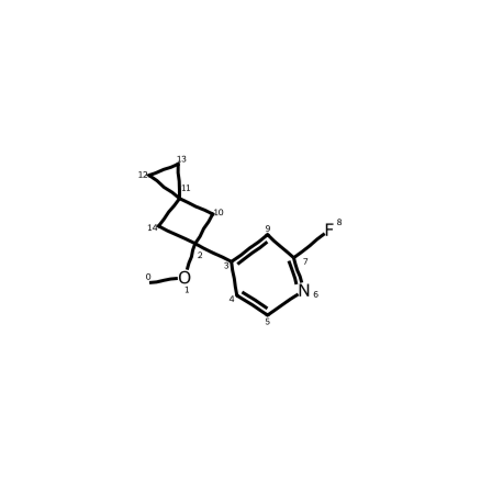 COC1(c2ccnc(F)c2)CC2(CC2)C1